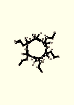 CCOP1(F)=NP(F)(CC=O)=NP(F)(F)=NP(F)(OCC)=NP(F)(OCC)=NP(F)(OCC)=N1